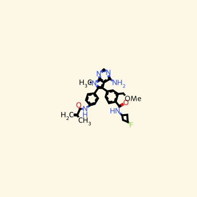 C=C(C)C(=O)Nc1ccc(-c2c(-c3ccc(C(=O)NC4CC(F)C4)c(COC)c3)c3c(N)ncnc3n2C)cc1